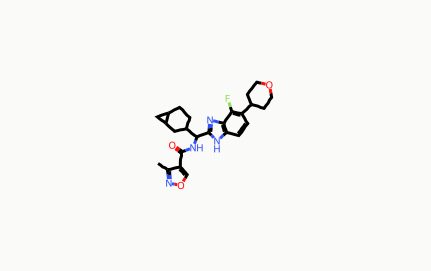 Cc1nocc1C(=O)NC(c1nc2c(F)c(C3CCOCC3)ccc2[nH]1)C1CCC2CC2C1